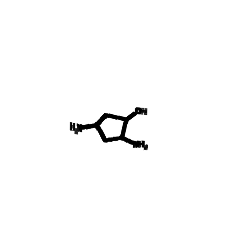 NC1CC(N)C(O)C1